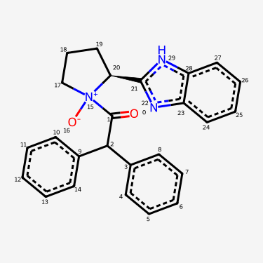 O=C(C(c1ccccc1)c1ccccc1)[N+]1([O-])CCC[C@H]1c1nc2ccccc2[nH]1